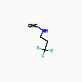 O=CNCCC(F)(F)F